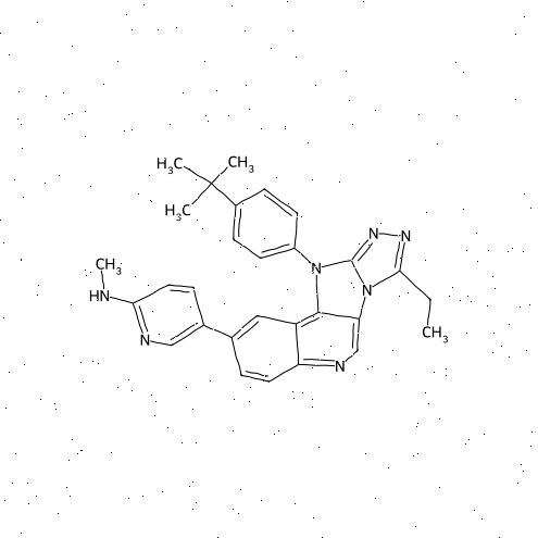 CCc1nnc2n(-c3ccc(C(C)(C)C)cc3)c3c4cc(-c5ccc(NC)nc5)ccc4ncc3n12